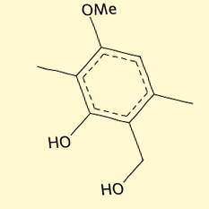 COc1cc(C)c(CO)c(O)c1C